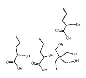 CCC(CO)(CO)CO.CCCC(S)C(=O)O.CCCC(S)C(=O)O.CCCC(S)C(=O)O